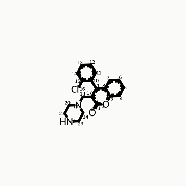 O=c1oc2ccccc2c(-c2ccccc2Cl)c1CN1CCNCC1